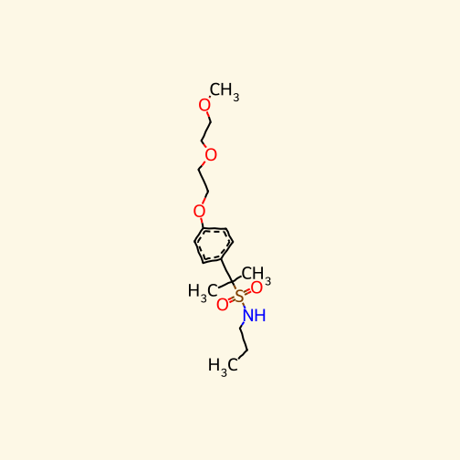 CCCNS(=O)(=O)C(C)(C)c1ccc(OCCOCCOC)cc1